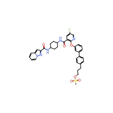 CS(=O)(=O)OCCCc1ccc(-c2cccc(Oc3ncc(F)cc3C(=O)NC3CCC(NC(=O)c4cc5ccccn5n4)CC3)c2)cc1